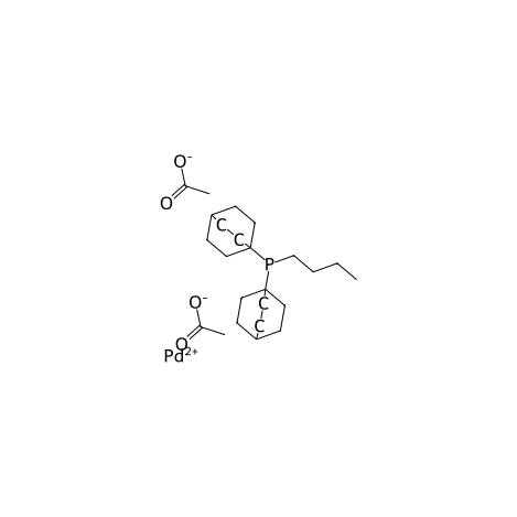 CC(=O)[O-].CC(=O)[O-].CCCCP(C12CCC(CC1)CC2)C12CCC(CC1)CC2.[Pd+2]